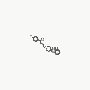 NC1(Cc2ccccc2)CCN(CCCC(=O)c2ccc(F)cc2)CC1